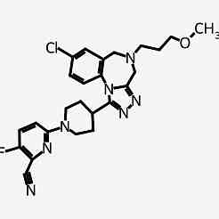 COCCCN1Cc2cc(Cl)ccc2-n2c(nnc2C2CCN(c3ccc(F)c(C#N)n3)CC2)C1